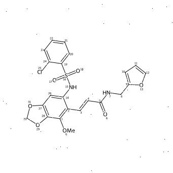 COc1c(C=CC(=O)NCc2ccco2)c(NS(=O)(=O)c2ccccc2Cl)cc2c1OCO2